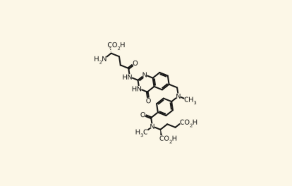 CN(Cc1ccc2nc(NC(=O)CC[C@H](N)C(=O)O)[nH]c(=O)c2c1)c1ccc(C(=O)N(C)[C@@H](CCC(=O)O)C(=O)O)cc1